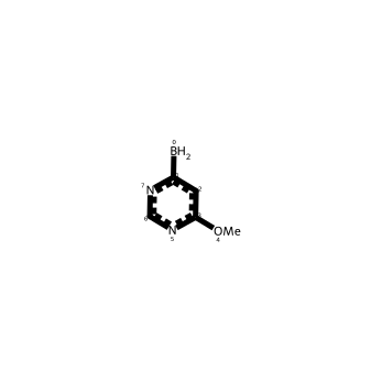 Bc1cc(OC)ncn1